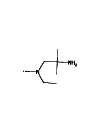 [CH2]N(CC)CC(C)(C)N